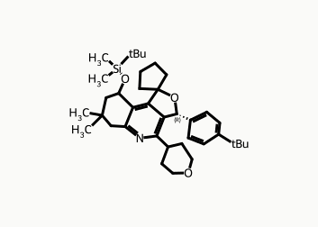 CC1(C)Cc2nc(C3CCOCC3)c3c(c2C(O[Si](C)(C)C(C)(C)C)C1)C1(CCCC1)O[C@@H]3c1ccc(C(C)(C)C)cc1